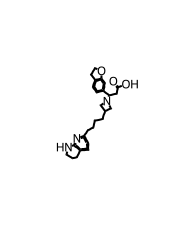 O=C(O)CC(c1ccc2c(c1)OCC2)N1CC(CCCCc2ccc3c(n2)NCCC3)C1